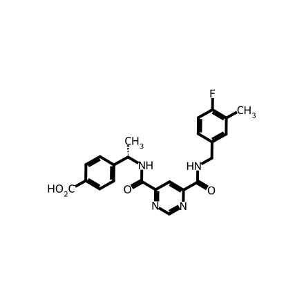 Cc1cc(CNC(=O)c2cc(C(=O)N[C@@H](C)c3ccc(C(=O)O)cc3)ncn2)ccc1F